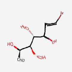 O=C[C@@H](O)[C@H](O)[C@H](O)C(O)/C=C/Br